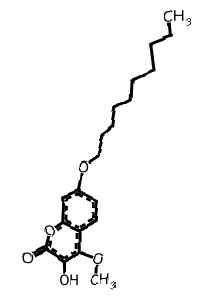 CCCCCCCCCCOc1ccc2c(OC)c(O)c(=O)oc2c1